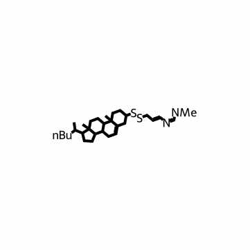 CCCCC(C)C1CCC2C3CC=C4CC(SSC/C=C/N=C\NC)CCC4(C)C3CCC12C